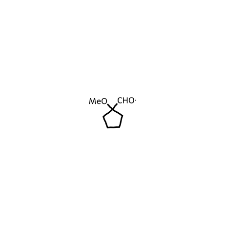 COC1([C]=O)CCCC1